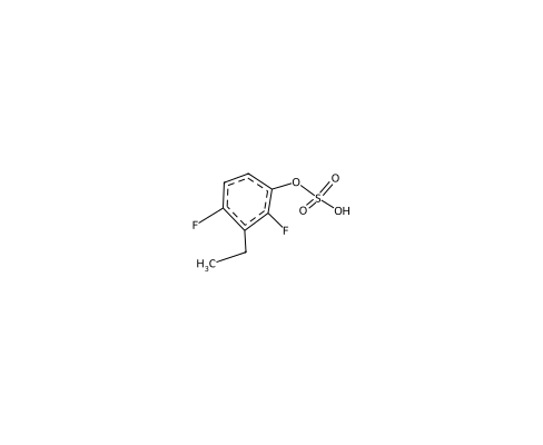 CCc1c(F)ccc(OS(=O)(=O)O)c1F